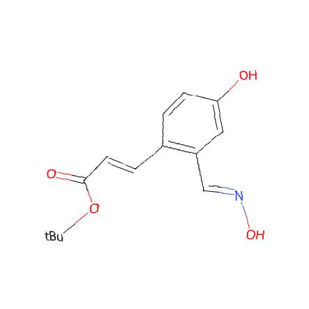 CC(C)(C)OC(=O)C=Cc1ccc(O)cc1C=NO